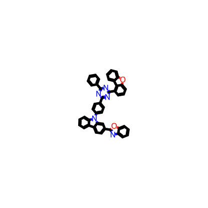 c1ccc(-c2nc(-c3ccc(-n4c5ccccc5c5ccc(-c6nc7ccccc7o6)cc54)cc3)nc(-c3cccc4oc5ccccc5c34)n2)cc1